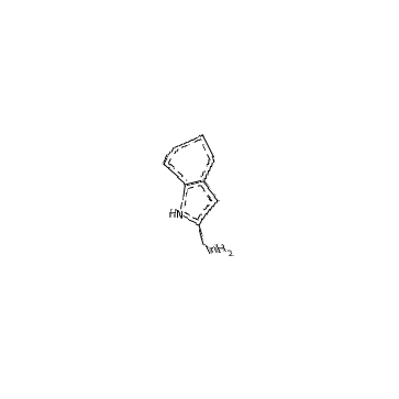 [InH2][c]1cc2ccccc2[nH]1